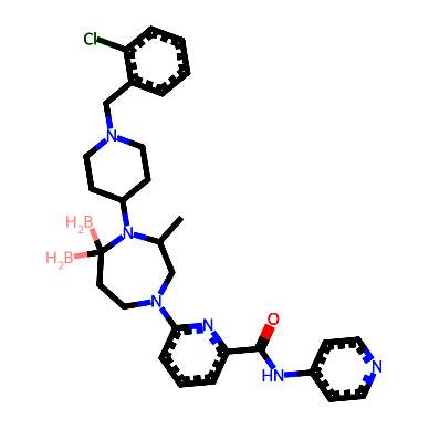 BC1(B)CCN(c2cccc(C(=O)Nc3ccncc3)n2)CC(C)N1C1CCN(Cc2ccccc2Cl)CC1